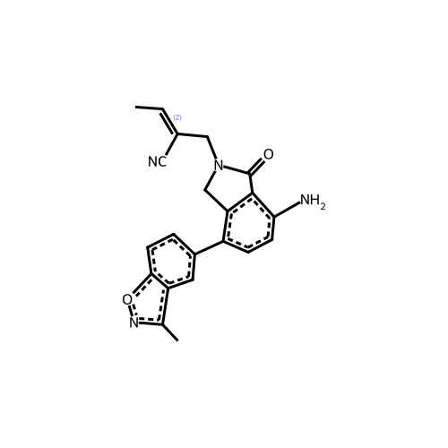 C/C=C(\C#N)CN1Cc2c(-c3ccc4onc(C)c4c3)ccc(N)c2C1=O